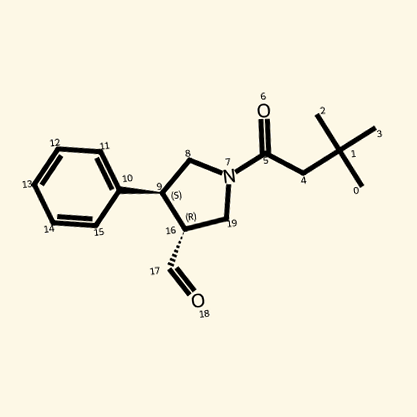 CC(C)(C)CC(=O)N1C[C@H](c2ccccc2)[C@@H](C=O)C1